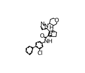 O=C(Nc1ccc(-c2ccccc2)c(Cl)c1)C1=C(c2ccnn2C2CCOCC2)[C@@H]2CCC1O2